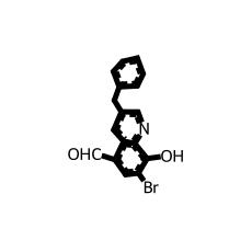 O=Cc1cc(Br)c(O)c2ncc(Cc3ccccc3)cc12